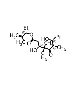 C=C(C)[C@H](CC)OC(=O)C[C@H](O)C(C)(C)C(=O)[C@H](C)[C@@H](O)C(C)C